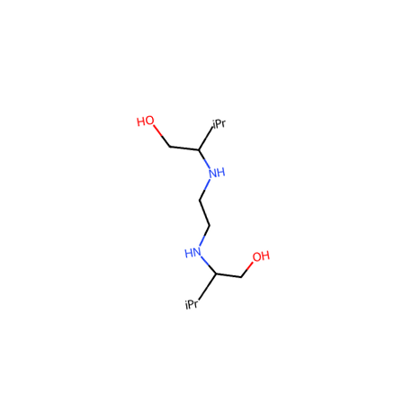 CC(C)C(CO)NCCNC(CO)C(C)C